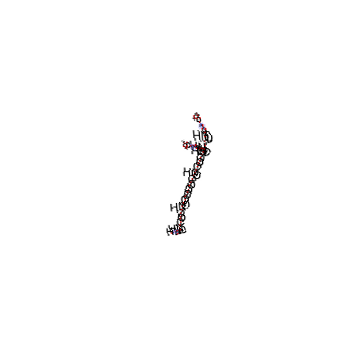 C=C/C=C(\CC)N[C@H](C)C(=O)NCCCOCCOCCOCCCNC(=O)CCOCCOCCOCCOCCOCCC(=O)NCCCOCCOCCOCCCNC(=O)[C@@H](CCCCCNC(=O)c1ccc(/C=C(\C)c2ccc3c(c2)C(C)(C)CCC3(C)C)cc1)NC(=O)c1ccc(/C=C(\C)c2ccc3c(c2)C(C)(C)CCC3(C)C)cc1